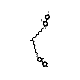 CC(CCCCCCCOc1ccc(-c2ccc(F)cc2)c(F)c1)CCCCCCCOc1ccc(-c2ccc(F)cc2)c(F)c1